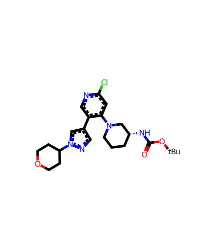 CC(C)(C)OC(=O)N[C@@H]1CCCN(c2cc(Cl)ncc2-c2cnn(C3CCOCC3)c2)C1